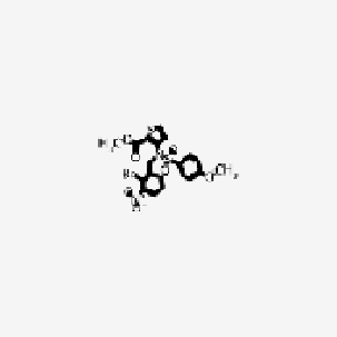 COC(=O)c1sccc1N(Cc1cccc([N+](=O)[O-])c1Br)S(=O)(=O)c1ccc(OC)cc1